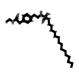 CCCCCCCCCCCCCCCCS(=O)(=O)NCCc1ccc(CC(=O)OCC)cc1